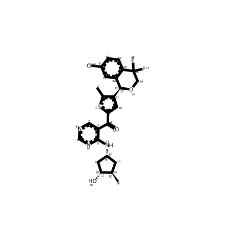 Cc1sc(C(=O)c2cncnc2N[C@@H]2C[C@@H](C)[C@H](O)C2)cc1[C@@H]1OCC(F)(F)c2ccc(Cl)cc21